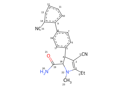 CCC1=C(C#N)C(c2ccc(-c3ccccc3C#N)cc2)C(C(N)=O)N1C